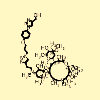 CC[C@H]1OC(=O)[C@H](C)[C@@H](C2C[C@@](C)(OC)[C@@H](O)[C@H](C)O2)[C@H](C)[C@@H](O[C@@H]2O[C@H](C)C[C@H](N(C)CCc3cn(CCCOc4ccc(-n5cc(CO)nn5)cc4)nn3)[C@H]2O)[C@](C)(O)C[C@@H](C)CN(C)[C@H](C)[C@@H](O)[C@]1(C)O